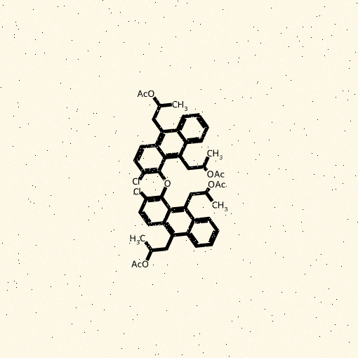 CC(=O)OC(C)Cc1c2ccccc2c(CC(C)OC(C)=O)c2c(Oc3c(Cl)ccc4c(CC(C)OC(C)=O)c5ccccc5c(CC(C)OC(C)=O)c34)c(Cl)ccc12